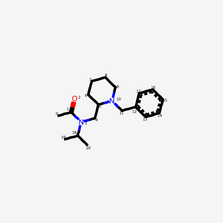 CC(=O)N(CC1CCCCN1Cc1ccccc1)C(C)C